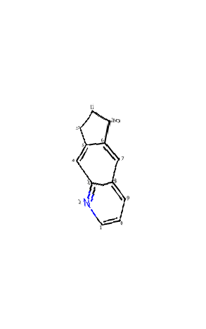 c1cnc2cc3c(cc2c1)CCC3